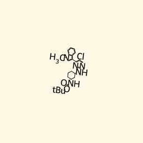 Cn1cc(-c2nc(N[C@@H]3CCC[C@H](NC(=O)OC(C)(C)C)C3)ncc2Cl)c2ccccc21